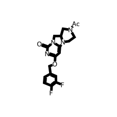 CC(=O)N1CCN2c3cc(OCc4ccc(F)c(F)c4)nc(=O)n3CC2C1